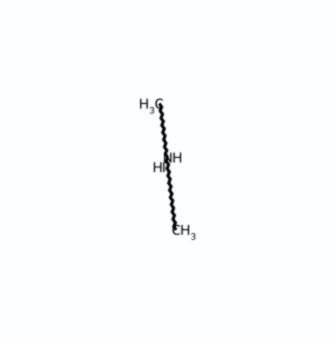 CCCCCCCCCCCCCCCCCCCCNCCCCCCCCCCCCCCC.I